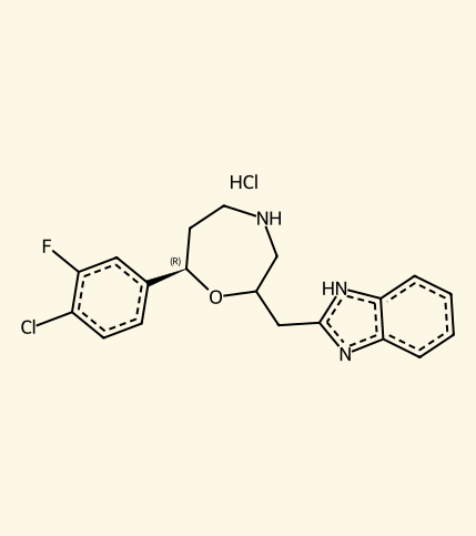 Cl.Fc1cc([C@H]2CCNCC(Cc3nc4ccccc4[nH]3)O2)ccc1Cl